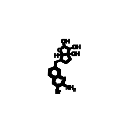 Nc1nc2cc(C[C@@H]3CC[C@@]4(O)[C@@H]3OC(O)[C@@H]4O)ccc2cc1Br